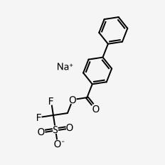 O=C(OCC(F)(F)S(=O)(=O)[O-])c1ccc(-c2ccccc2)cc1.[Na+]